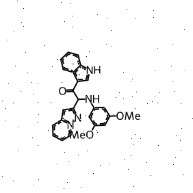 COc1cc(NC(C(=O)c2c[nH]c3cc[c]cc23)c2cc3ccccn3n2)cc(OC)c1